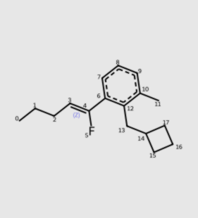 CCC/C=C(\F)c1cccc(C)c1CC1CCC1